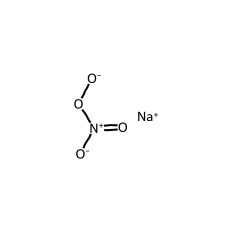 O=[N+]([O-])O[O-].[Na+]